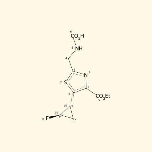 CCOC(=O)c1nc(CNC(=O)O)sc1[C@@H]1C[C@H]1F